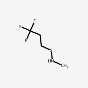 CNSCCC(F)(F)F